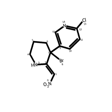 O=[N+]([O-])/C=C1\NCCCC1(Br)c1ccc(Cl)nc1